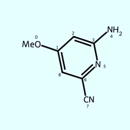 COc1cc(N)nc(C#N)c1